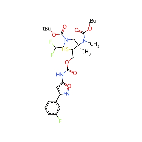 CN(C(=O)OC(C)(C)C)[C@](C)(CN(CC(F)F)C(=O)OC(C)(C)C)C(S)COC(=O)Nc1cc(-c2cccc(F)c2)no1